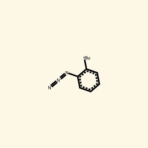 CC(C)(C)c1ccccc1N=[N+]=[N-]